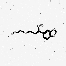 CCOCCOCCC([C]=O)c1ccc2c(c1)OCO2